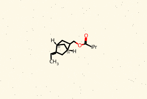 CC=C1C[C@@H]2C[C@H]1CC2COC(=O)C(C)C